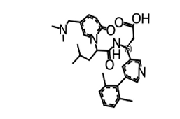 Cc1cccc(C)c1-c1cncc([C@H](CC(=O)O)NC(=O)C(CC(C)C)n2cc(CN(C)C)ccc2=O)c1